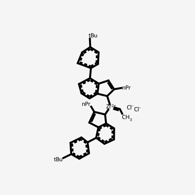 C[CH]=[Zr+2]([CH]1C(CCC)=Cc2c(-c3ccc(C(C)(C)C)cc3)cccc21)[CH]1C(CCC)=Cc2c(-c3ccc(C(C)(C)C)cc3)cccc21.[Cl-].[Cl-]